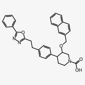 O=C(O)N1CCC(c2ccc(CCc3nnc(-c4ccccc4)o3)cc2)C(OCc2ccc3ccccc3c2)C1